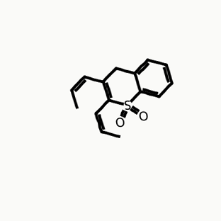 C/C=C\C1=C(/C=C\C)S(=O)(=O)c2ccccc2C1